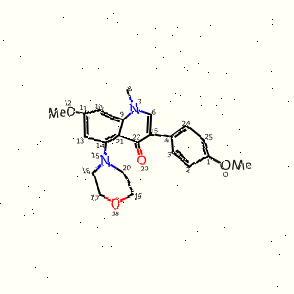 COc1ccc(-c2cn(C)c3cc(OC)cc(N4CCOCC4)c3c2=O)cc1